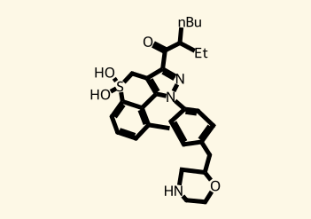 CCCCC(CC)C(=O)c1nn(-c2ccc(CC3CNCCO3)cc2)c2c1CS(O)(O)c1cccc(C)c1-2